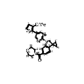 COc1ccsc1-c1cnc(N2CC3(CC3)c3ccc(C(=O)N4CCOCC4)cc32)nc1